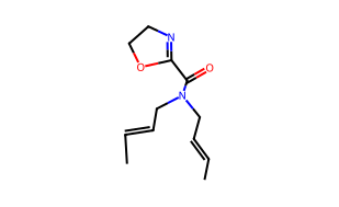 C/C=C/CN(C/C=C/C)C(=O)C1=NCCO1